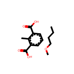 CCCCOC.Cc1c(C(=O)O)cccc1C(=O)O